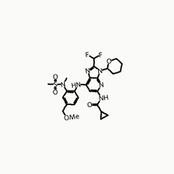 COCc1ccc(Nc2cc(NC(=O)C3CC3)nc3c2nc(C(F)F)n3C2CCCCO2)c(N(C)S(C)(=O)=O)c1